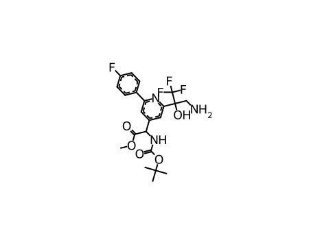 COC(=O)C(NC(=O)OC(C)(C)C)c1cc(-c2ccc(F)cc2)nc(C(O)(CN)C(F)(F)F)c1